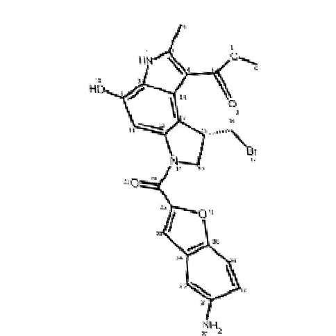 COC(=O)c1c(C)[nH]c2c(O)cc3c(c12)[C@H](CBr)CN3C(=O)c1cc2cc(N)ccc2o1